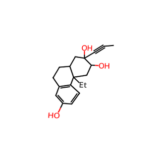 CC#CC1(O)CC2CCc3cc(O)ccc3C2(CC)CC1O